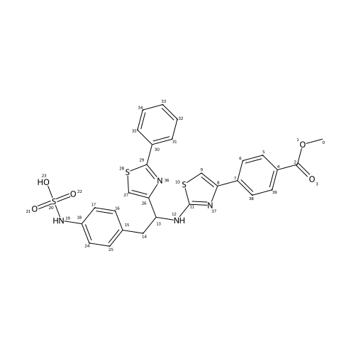 COC(=O)c1ccc(-c2csc(NC(Cc3ccc(NS(=O)(=O)O)cc3)c3csc(-c4ccccc4)n3)n2)cc1